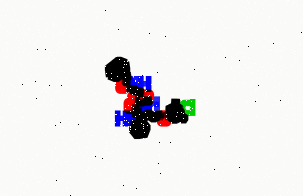 Cc1cc(OCCCc2c(C(=O)NS(=O)(=O)CCNC(=O)CC34CC5CC(CC(C5)C3)C4)[nH]c3ccccc23)cc(C)c1Cl